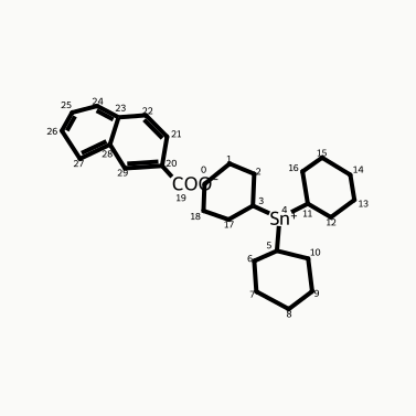 C1CC[CH]([Sn+]([CH]2CCCCC2)[CH]2CCCCC2)CC1.O=C([O-])c1ccc2ccccc2c1